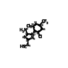 Nc1nc(SS)nn1-c1c(Cl)cc(C(F)(F)F)cc1Cl